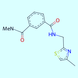 CNC(=O)c1cccc(C(=O)NCc2nc(C)cs2)c1